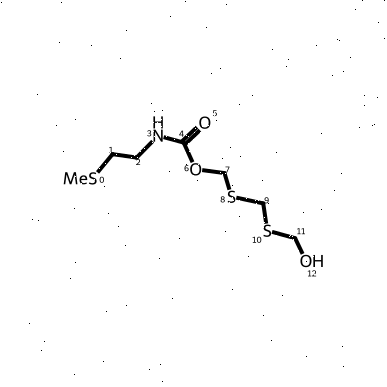 CSCCNC(=O)OCSCSCO